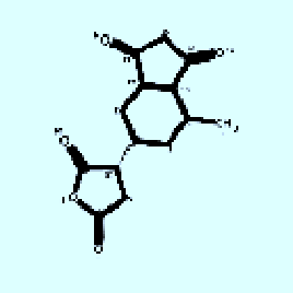 CC1CC([C@@H]2CC(=O)OC2=O)CC2C(=O)CC(=O)C12